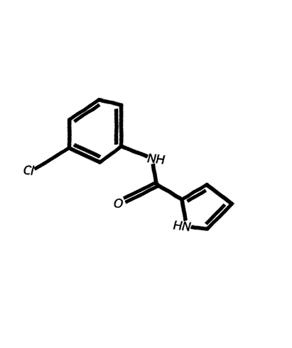 O=C(Nc1cccc(Cl)c1)c1ccc[nH]1